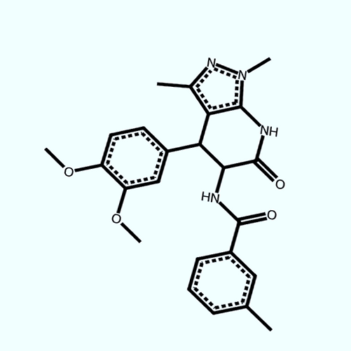 COc1ccc(C2c3c(C)nn(C)c3NC(=O)C2NC(=O)c2cccc(C)c2)cc1OC